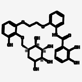 O=C(Nc1ccccc1OCCOc1cccc(O)c1OC[C@H]1CC(O)[C@H](O)[C@@H](O)[C@@H]1O)c1cccc(O)c1O